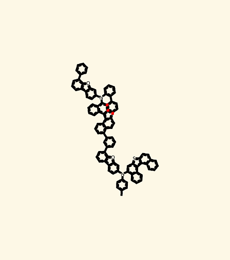 Cc1ccc(N(c2ccc3c(c2)oc2c(-c4cccc(-c5cccc6c5ccc5sc7cc(N(c8ccc9c(c8)oc8c(-c%10ccccc%10)cccc89)c8ccccc8-c8ccccc8)c8ccccc8c7c56)c4)cccc23)c2cc3sc4ccc5ccccc5c4c3c3ccccc23)cc1